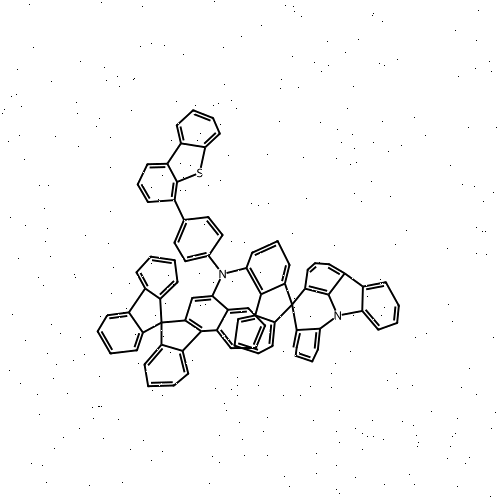 c1ccc2c(c1)-c1ccccc1C21c2ccccc2-c2c1cc(N(c1ccc(-c3cccc4c3sc3ccccc34)cc1)c1cccc3c1-c1ccccc1C31c3ccccc3-n3c4ccccc4c4cccc1c43)c1ccccc21